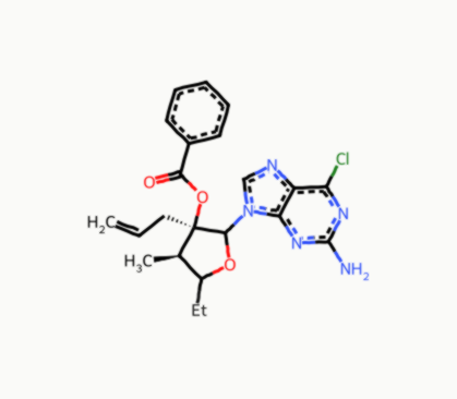 C=CC[C@]1(OC(=O)c2ccccc2)C(n2cnc3c(Cl)nc(N)nc32)OC(CC)[C@H]1C